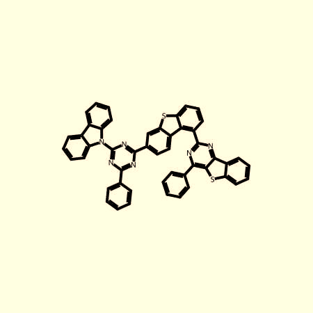 c1ccc(-c2nc(-c3ccc4c(c3)sc3cccc(-c5nc(-c6ccccc6)c6sc7ccccc7c6n5)c34)nc(-n3c4ccccc4c4ccccc43)n2)cc1